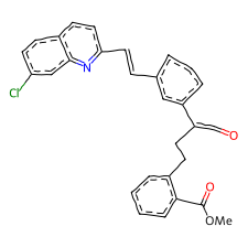 COC(=O)c1ccccc1CCC(=C=O)c1cccc(C=Cc2ccc3ccc(Cl)cc3n2)c1